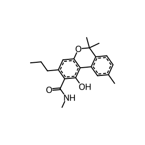 CCCc1cc2c(c(O)c1C(=O)NC)-c1cc(C)ccc1C(C)(C)O2